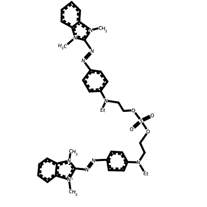 CCN(CCOS(=O)(=O)OCCN(CC)c1ccc(/N=N/c2n(C)c3ccccc3[n+]2C)cc1)c1ccc(/N=N/c2n(C)c3ccccc3[n+]2C)cc1